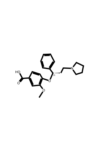 COc1cc(C(=O)O)ccc1O[C@@H](CCN1CCCC1)c1ccccc1